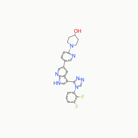 OC1CCN(c2ccc(-c3cnc4[nH]cc(-c5nncn5-c5cccc(F)c5F)c4c3)cn2)CC1